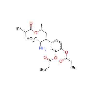 CC(CC(c1ccc(OC(=O)CC(C)(C)C)c(OC(=O)CC(C)(C)C)c1)[C@H](N)C(=O)O)OC(=O)C(C)C(C)C